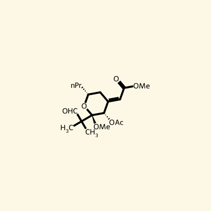 CCC[C@@H]1C/C(=C\C(=O)OC)[C@H](OC(C)=O)[C@](OC)(C(C)(C)C=O)O1